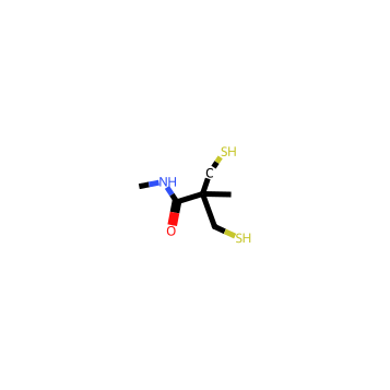 CNC(=O)C(C)(CS)CS